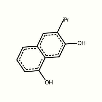 CC(C)c1cc2cccc(O)c2cc1O